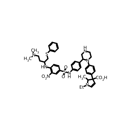 CCN1C=CC(C(=O)O)(c2ccc(N3CCNCC3c3ccc(NS(=O)(=O)c4ccc(NC(CCN(C)C)CSc5ccccc5)c([N+](=O)[O-])c4)cc3)cc2)C1C